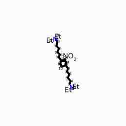 CCN(CC)CCCCCCc1ccc(CCCCCCN(CC)CC)c([N+](=O)[O-])c1